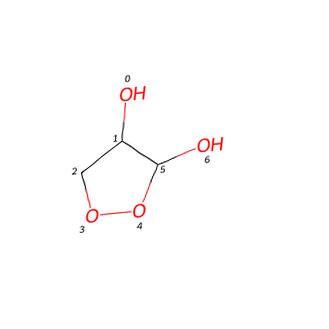 OC1COOC1O